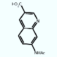 CC(=O)Nc1ccc2cc(C(=O)O)cnc2c1